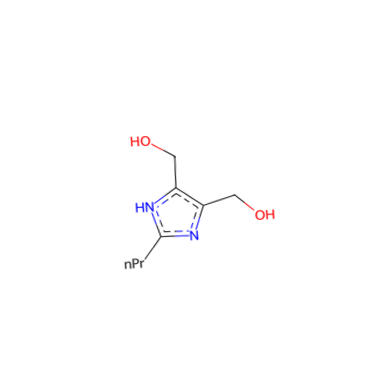 CCCc1nc(CO)c(CO)[nH]1